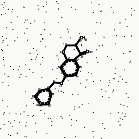 CC1COc2cc(OCc3ccncc3)ccc2C1=O